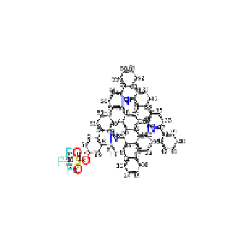 O=S(=O)(Oc1cccc(-c2cc(-c3ccccc3)c(-c3ccccc3-c3cc(-c4ccccc4-c4ccc(-c5ccccc5)nc4)cc(-c4ccccc4-c4ccc(-c5ccccc5)nc4)c3)cn2)c1)C(F)(F)F